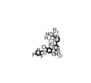 Cc1cc(OCc2ncc(F)cc2F)c(Cl)c(F)c1-n1c(C)ncc(-c2ccnc(C(C)(C)O)n2)c1=O